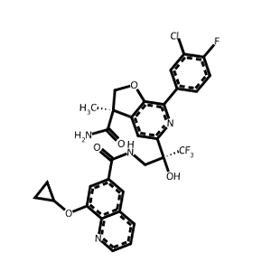 C[C@]1(C(N)=O)COc2c1cc([C@@](O)(CNC(=O)c1cc(OC3CC3)c3ncccc3c1)C(F)(F)F)nc2-c1ccc(F)c(Cl)c1